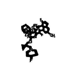 C#Cc1c(F)ccc2cc(O)cc(-c3nc(OC(F)(F)F)c4c(N5CC6CCC(C5)N6C(=O)C(F)(F)F)nc(OCC5(CN6CCC(F)CC6)CC5)nc4c3F)c12